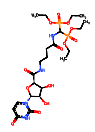 CCOP(=O)(OCC)C(NC(=O)CCCNC(=O)[C@H]1O[C@@H](n2ccc(=O)[nH]c2=O)[C@H](O)[C@@H]1O)P(=O)(OCC)OCC